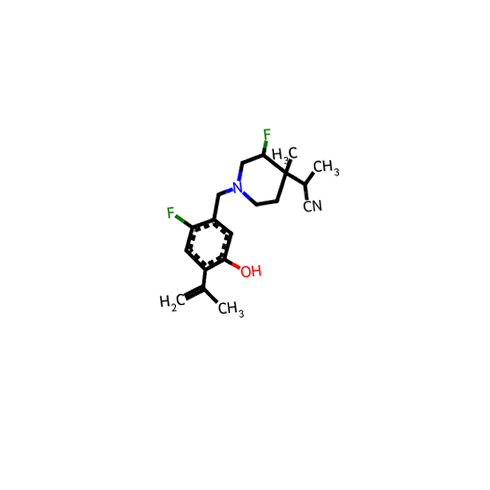 C=C(C)c1cc(F)c(CN2CCC(C)(C(C)C#N)C(F)C2)cc1O